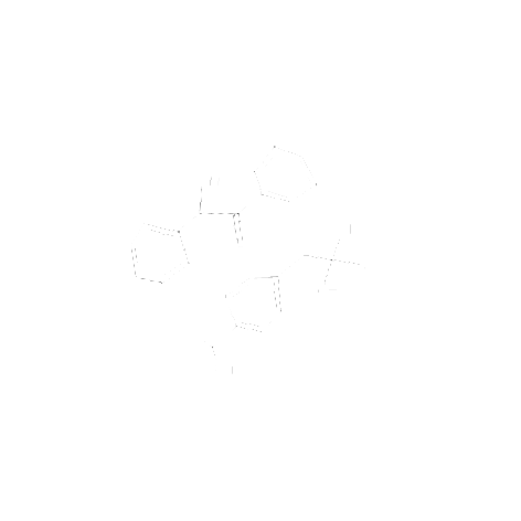 CC(C)c1ccc(CC(C)(C)O)cc1.O=C(c1ccccc1)C(O)c1ccccc1